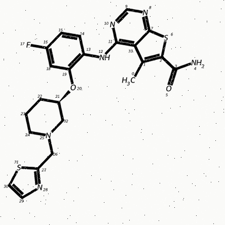 Cc1c(C(N)=O)sc2ncnc(Nc3ccc(F)cc3O[C@@H]3CCCN(Cc4nccs4)C3)c12